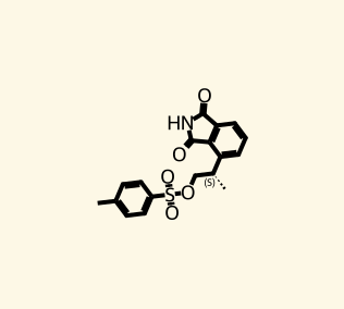 Cc1ccc(S(=O)(=O)OC[C@@H](C)c2cccc3c2C(=O)NC3=O)cc1